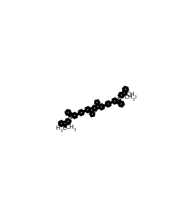 CC1(C)c2ccccc2-c2cc(-n3c4ccccc4c4cc(-c5ccc(-c6ccc7c(c6)C6(CCCC6)c6cc8c(cc6-7)C6(CCCC6)c6cc(-c7ccc(-c9ccc%10c(c9)c9ccccc9n%10-c9ccc%10c(c9)C(C)(C)c9ccccc9-%10)cc7)ccc6-8)cc5)ccc43)ccc21